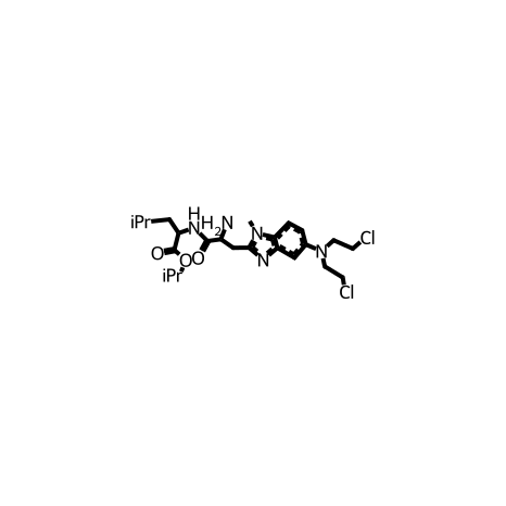 CC(C)CC(NC(=O)C(N)Cc1nc2cc(N(CCCl)CCCl)ccc2n1C)C(=O)OC(C)C